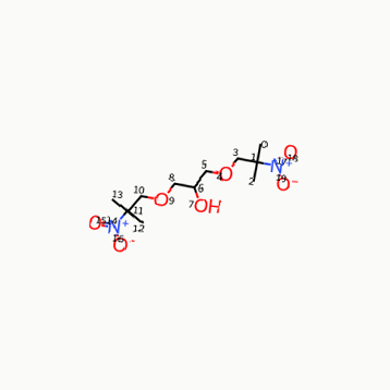 CC(C)(COCC(O)COCC(C)(C)[N+](=O)[O-])[N+](=O)[O-]